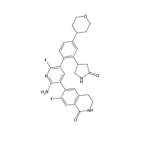 Nc1nc(F)c(-c2ccc(C3CCOCC3)cc2C2CNC(=O)C2)cc1-c1cc2c(cc1F)C(=O)NCC2